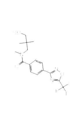 CN(CC(C)(C)CO)C(=O)c1ccc(-c2noc(C(F)(F)F)n2)cc1